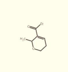 CCC(=O)C1=CCCOC1C